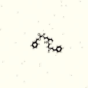 CCC(CCN(C)C(=O)OCc1ccccc1)NCCN(C)CCc1ccccc1